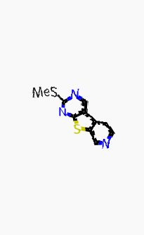 CSc1ncc2c(n1)sc1cnccc12